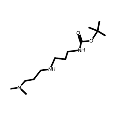 CN(C)CCCNCCCNC(=O)OC(C)(C)C